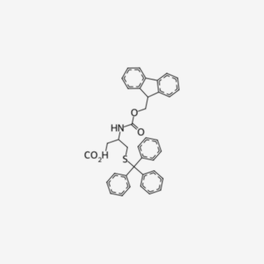 O=C(O)CC(CSC(c1ccccc1)(c1ccccc1)c1ccccc1)NC(=O)OCC1c2ccccc2-c2ccccc21